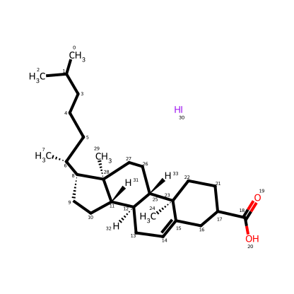 CC(C)CCC[C@@H](C)[C@H]1CC[C@H]2[C@@H]3CC=C4CC(C(=O)O)CC[C@]4(C)[C@H]3CC[C@]12C.I